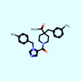 COC(=O)C1(Cc2cccc(C)c2)CCN(C(=O)c2cncn2Cc2ccc(C#N)cc2)CC1